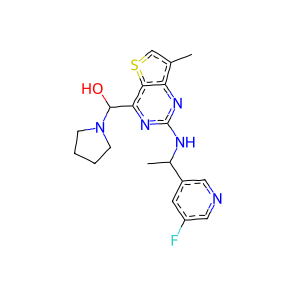 Cc1csc2c(C(O)N3CCCC3)nc(NC(C)c3cncc(F)c3)nc12